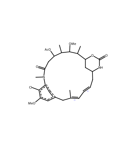 COc1cc2cc(c1Cl)N(C)C(=O)CC(OC(C)=O)C(C)C(OC)C(C)C1CC(C/C=C/C=C(\C)C2)NC(=O)O1